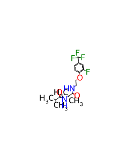 CC(C)C(=O)NC(C)(C)C(=O)NCCOc1ccc(C(F)(F)F)cc1F